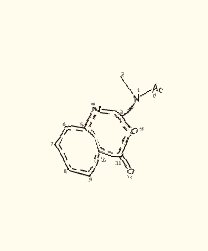 CC(=O)N(C)c1nc2ccccc2c(=O)o1